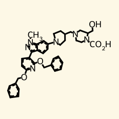 Cn1nc(-c2ccc(OCc3ccccc3)nc2OCc2ccccc2)c2ccc(N3CCC(CN4CCN(C(=O)O)C(CO)C4)CC3)cc21